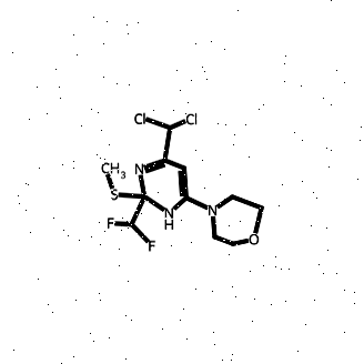 CSC1(C(F)F)N=C(C(Cl)Cl)C=C(N2CCOCC2)N1